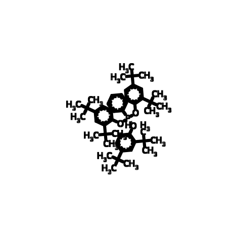 CC(C)(C)c1ccc(O[PH](Oc2ccc(C(C)(C)C)cc2C(C)(C)C)(Oc2ccc(C(C)(C)C)cc2C(C)(C)C)c2ccccc2)c(C(C)(C)C)c1